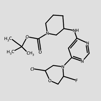 CC(C)(C)OC(=O)N1CCCC(Nc2cc(N3CC(Cl)OCC3F)ncn2)C1